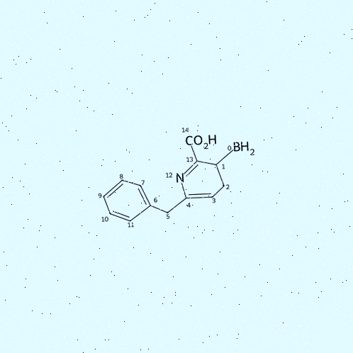 BC1CC=C(Cc2ccccc2)N=C1C(=O)O